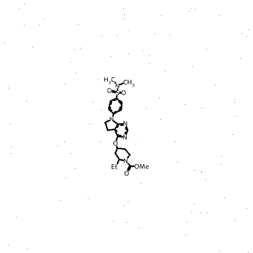 CCC1CC(Oc2ncnc3c2CCN3c2ccc(S(=O)(=O)N(C)C)cc2)CCN1C(=O)OC